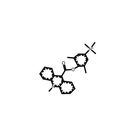 Cc1cc([N+](C)(C)C)cc(C)c1OC(=O)c1c2ccccc2[n+](C)c2ccccc12